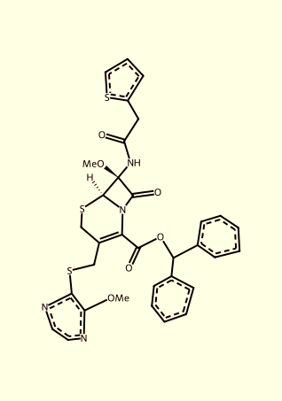 COc1nccnc1SCC1=C(C(=O)OC(c2ccccc2)c2ccccc2)N2C(=O)[C@](NC(=O)Cc3cccs3)(OC)[C@@H]2SC1